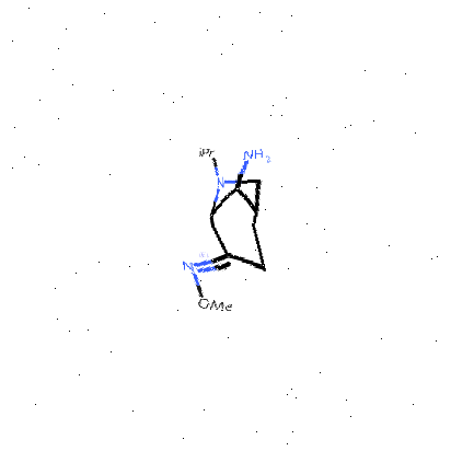 CO/N=C1\CC2CN(C(C)C)C1C2N